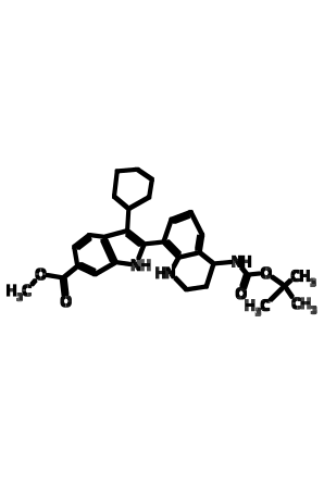 COC(=O)c1ccc2c(C3CCCCC3)c(-c3cccc4c3NCCC4NC(=O)OC(C)(C)C)[nH]c2c1